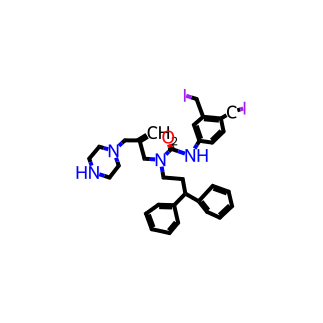 C=C(CN1CCNCC1)CN(CCC(c1ccccc1)c1ccccc1)C(=O)Nc1ccc(CI)c(CI)c1